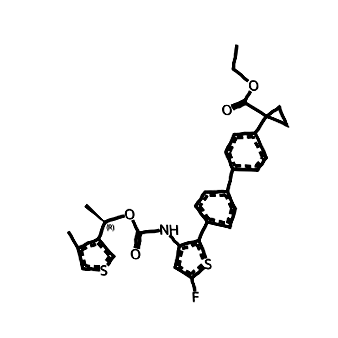 CCOC(=O)C1(c2ccc(-c3ccc(-c4sc(F)cc4NC(=O)O[C@H](C)c4cscc4C)cc3)cc2)CC1